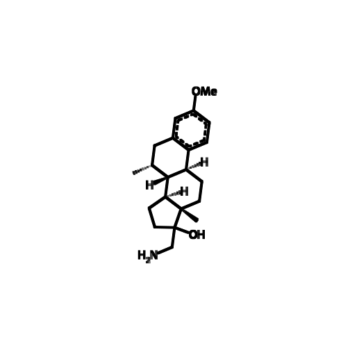 COc1ccc2c(c1)C[C@@H](C)[C@@H]1[C@@H]2CC[C@@]2(C)[C@H]1CCC2(O)CN